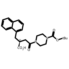 CC(C)(C)OC(=O)N1CCN(C(=O)C[C@H](Cc2cccc3ccccc23)C(=O)O)CC1